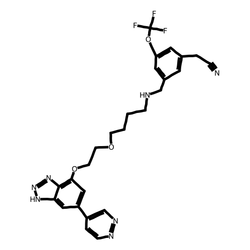 N#CCc1cc(CNCCCCOCCOc2cc(-c3ccnnc3)cc3[nH]nnc23)cc(OC(F)(F)F)c1